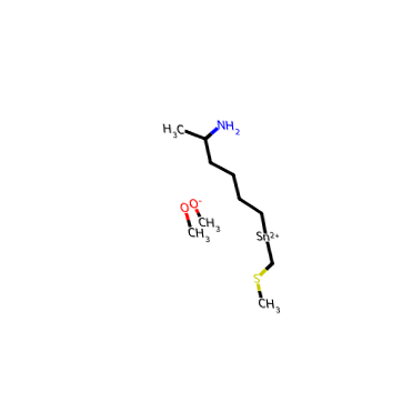 CS[CH2][Sn+2][CH2]CCCC(C)N.C[O-].C[O-]